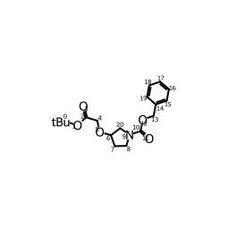 CC(C)(C)OC(=O)COC1CCN(C(=O)OCc2ccccc2)C1